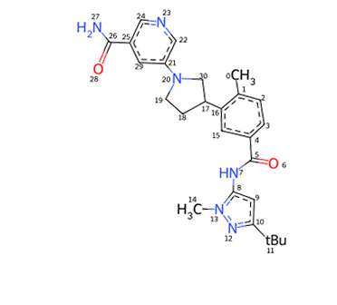 Cc1ccc(C(=O)Nc2cc(C(C)(C)C)nn2C)cc1C1CCN(c2cncc(C(N)=O)c2)C1